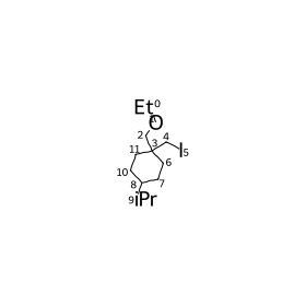 CCOCC1(CI)CCC(C(C)C)CC1